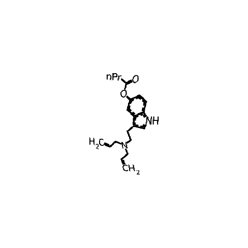 C=CCN(CC=C)CCc1c[nH]c2ccc(OC(=O)CCC)cc12